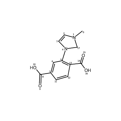 CN1C=CN(c2cc(C(=O)O)ccc2C(=O)O)C1